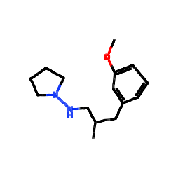 COc1cccc(CC(C)CNN2CCCC2)c1